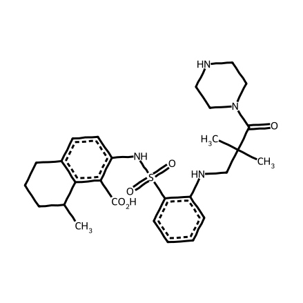 CC1CCCc2ccc(NS(=O)(=O)c3ccccc3NCC(C)(C)C(=O)N3CCNCC3)c(C(=O)O)c21